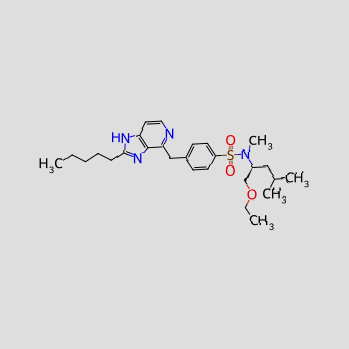 CCCCCc1nc2c(Cc3ccc(S(=O)(=O)N(C)[C@H](COCC)CC(C)C)cc3)nccc2[nH]1